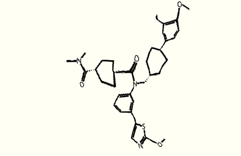 COc1ncc(-c2cccc(N(C[C@H]3CC[C@H](c4ccc(OC)c(C)c4)CC3)C(=O)[C@H]3CC[C@H](C(=O)N(C)C)CC3)c2)s1